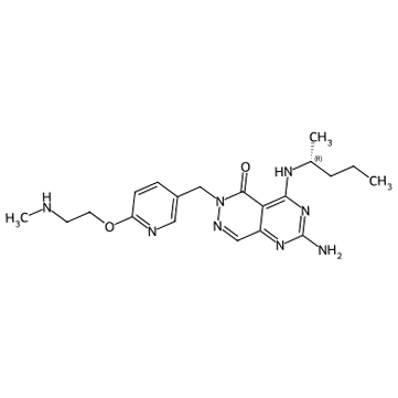 CCC[C@@H](C)Nc1nc(N)nc2cnn(Cc3ccc(OCCNC)nc3)c(=O)c12